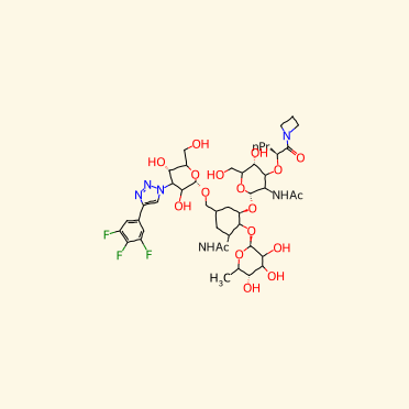 CCC[C@H](OC1C(NC(C)=O)[C@H](O[C@@H]2CC(CO[C@H]3OC(CO)[C@@H](O)C(n4cc(-c5cc(F)c(F)c(F)c5)nn4)C3O)CC(NC(C)=O)C2O[C@@H]2OC(C)[C@@H](O)C(O)C2O)OC(CO)[C@@H]1O)C(=O)N1CCC1